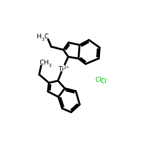 CCC1=Cc2ccccc2[CH]1[Ti+2][CH]1C(CC)=Cc2ccccc21.[Cl-].[Cl-]